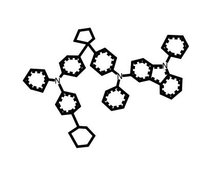 c1ccc(N(c2ccc(C3CCCCC3)cc2)c2ccc(C3(c4ccc(N(c5ccccc5)c5ccc6c(c5)c5ccccc5n6-c5ccccc5)cc4)CCCC3)cc2)cc1